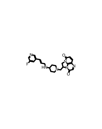 O=c1ccc2ncc(=O)n3c2n1CC3CN1CCC(NCC=Cc2cncc(F)c2)CC1